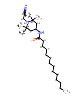 CCCCCCCCCCCCCC(=O)NC1CC(C)(C)N(CC#N)C(C)(C)C1